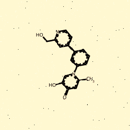 Cc1cc(=O)c(O)cn1-c1cccc(-c2ccnc(CO)c2)c1